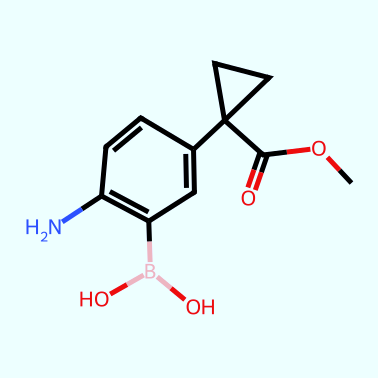 COC(=O)C1(c2ccc(N)c(B(O)O)c2)CC1